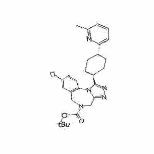 Cc1cccc([C@H]2CC[C@H](c3nnc4n3-c3ccc(Cl)cc3CN(C(=O)OC(C)(C)C)C4)CC2)n1